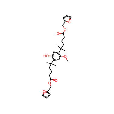 COc1cc(C(C)(C)CCCC(=O)OCc2ccco2)c(O)cc1C(C)(C)CCCC(=O)OCc1ccco1